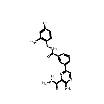 CNC(=O)c1nc(-c2cccc(C(=O)NCc3ccc(Cl)cc3C)c2)cnc1N